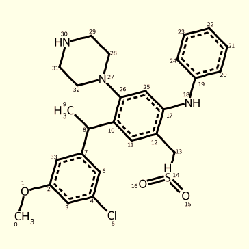 COc1cc(Cl)cc(C(C)c2cc(C[SH](=O)=O)c(Nc3ccccc3)cc2N2CCNCC2)c1